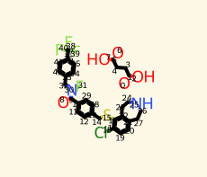 O=C(O)CCC(=O)O.O=C(c1ccc(CSc2c(Cl)ccc3c2CCNCC3)cc1)N(F)Cc1ccc(C(F)(F)F)cc1